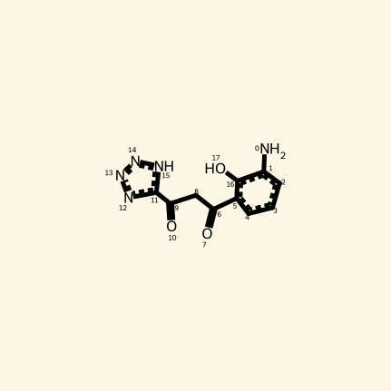 Nc1cccc(C(=O)CC(=O)c2nnn[nH]2)c1O